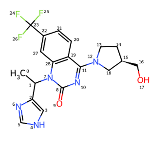 CC(c1c[nH]cn1)n1c(=O)nc(N2CC[C@@H](CO)C2)c2ccc(C(F)(F)F)cc21